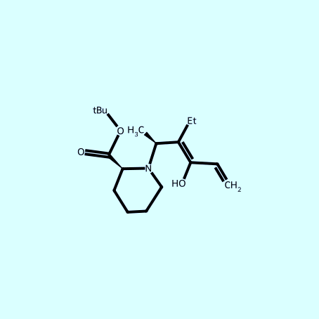 C=CC(O)=C(CC)[C@H](C)N1CCCC[C@H]1C(=O)OC(C)(C)C